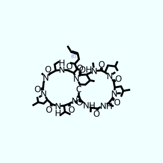 C/C=C/CC(C)C(O)C1C(=O)NC(CC)C(=O)N(C)CC(=O)N(C)C(CC(C)C)C(=O)NC(C(C)C)C(=O)N(C)C2CC3CC(C)C(C(=O)N31)N(C)C(=O)C(CC(C)C)N(C)C(=O)C(CC(C)C)N(C)C(=O)C(C)NC(=O)C(C)NC2=O